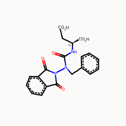 O=C(O)C[C@H](NC(=O)N(Cc1ccccc1)N1C(=O)c2ccccc2C1=O)C(=O)O